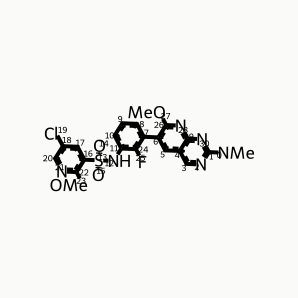 CNc1ncc2cc(-c3cccc(NS(=O)(=O)c4cc(Cl)cnc4OC)c3F)c(OC)nc2n1